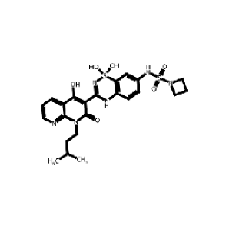 CC(C)CCn1c(=O)c(C2=NS(O)(O)c3cc(NS(=O)(=O)N4CCC4)ccc3N2)c(O)c2cccnc21